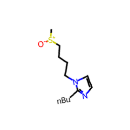 CCCCc1nccn1CCCC[S+](C)[O-]